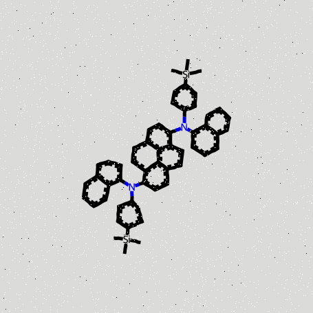 C[Si](C)(C)c1ccc(N(c2cccc3ccccc23)c2ccc3ccc4c(N(c5ccc([Si](C)(C)C)cc5)c5cccc6ccccc56)ccc5ccc2c3c54)cc1